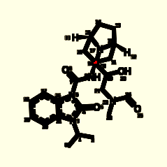 CC(C)n1c(=O)n(C(=O)N[C@@H]2C[C@H]3CC[C@@H](C2)N3CC(O)CN(C)C=O)c2ccccc21